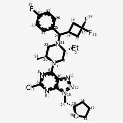 CC[C@@H]1CN(c2nc(Cl)nc3c2nnn3C[C@@H]2CCCO2)[C@@H](C)CN1C(c1ccc(F)cc1)C1CC(F)(F)C1